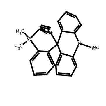 CC(C)(C)N1c2ccccc2C2(c3ccccc31)c1ccccc1[Si](C)(C)c1ccccc12